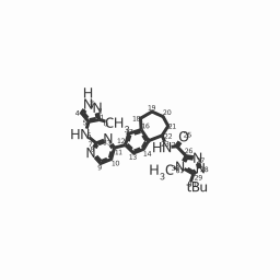 Cc1n[nH]cc1Nc1nccc(-c2ccc3c(c2)CCCCC3NC(=O)c2nnc(C(C)(C)C)n2C)n1